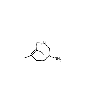 C\C1=C(Cl)/C=N\C=C(\N)CC1